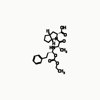 CCOC(=O)O[C@H](CCc1ccccc1)N[C@@H](C)C(=O)N1[C@@H](C(=O)O)C[C@H]2CCC[C@H]21